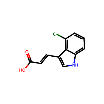 O=C(O)C=Cc1c[nH]c2cccc(Cl)c12